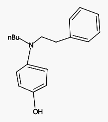 CCCCN(CCc1ccccc1)c1ccc(O)cc1